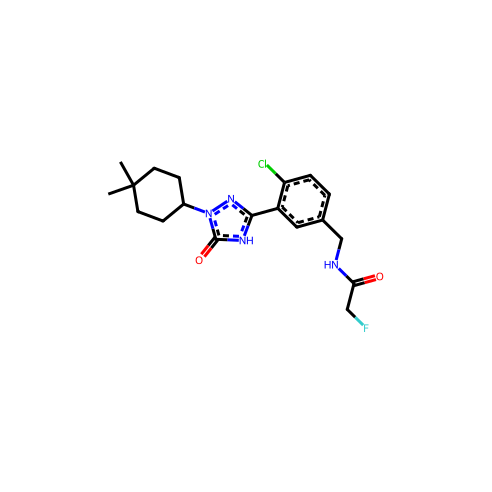 CC1(C)CCC(n2nc(-c3cc(CNC(=O)CF)ccc3Cl)[nH]c2=O)CC1